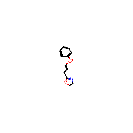 C(=COc1ccccc1)CC1=NCCO1